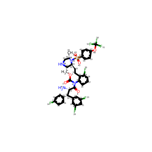 COC(=O)N(C(=O)[C@@H](N)[C@@H](c1ccc(F)cc1)c1cc(F)cc(F)c1)c1cccc(F)c1CC[C@H]1CNC[C@H](C)N1S(=O)(=O)c1ccc(OC(F)(F)F)cc1